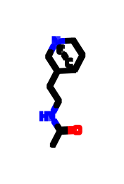 CC(=O)NCCC1CN2CCC1CC2